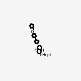 CCCCCCCC1CC[C@@H]2C[C@H](c3ccc(-c4ccc(OCc5ccccc5)cc4)cc3)CC[C@@H]2C1